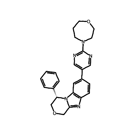 c1ccc([C@H]2COCc3nc4ccc(-c5cnc(N6CCCOCC6)nc5)cc4n32)cc1